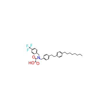 CCCCCCCCc1ccc(CCc2ccc(CN(Cc3ccc(C(F)(F)F)cc3)C(=O)C(=O)O)cc2)cc1